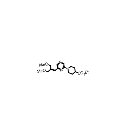 CCOC(=O)C1CCN(c2cncc(C=C(COC)COC)n2)CC1